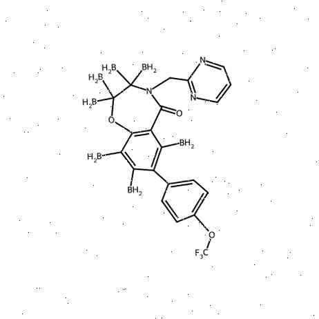 Bc1c(B)c(-c2ccc(OC(F)(F)F)cc2)c(B)c2c1OC(B)(B)C(B)(B)N(Cc1ncccn1)C2=O